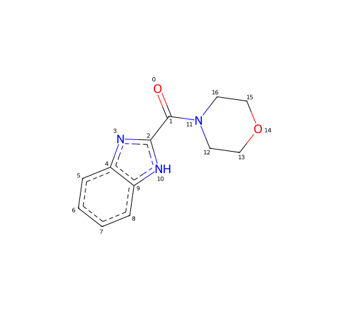 O=C(c1nc2ccccc2[nH]1)N1CCOCC1